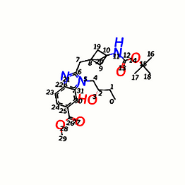 CC[C@H](O)Cn1c(CC23CC(NC(=O)OC(C)(C)C)(C2)C3)nc2ccc(C(=O)OC)cc21